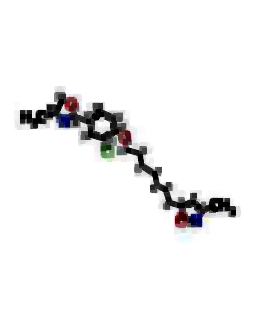 Cc1cc(CCCCCCCOc2ccc(C3=NC(C)CO3)cc2Cl)on1